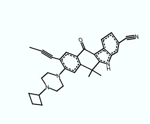 CC#Cc1cc2c(cc1N1CCN(C3CCC3)CC1)C(C)(C)c1[nH]c3cc(C#N)ccc3c1C2=O